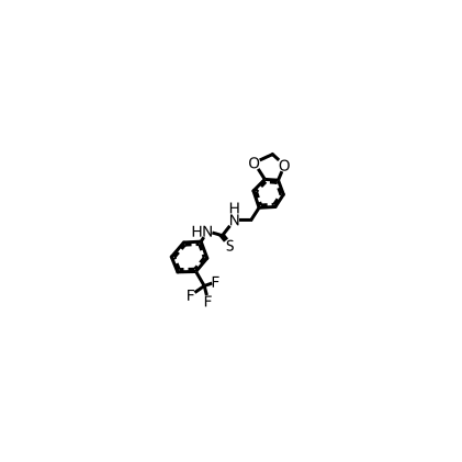 FC(F)(F)c1cccc(NC(=S)NCc2ccc3c(c2)OCO3)c1